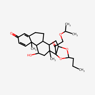 CCCC1OC2CC3C4CCC5=CC(=O)C=CC5(C)C4C(O)CC3(C)C2(C(=O)COC(C)C)O1